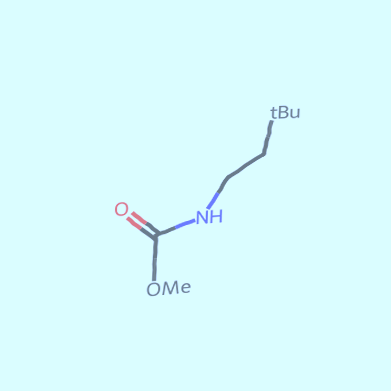 COC(=O)NCCC(C)(C)C